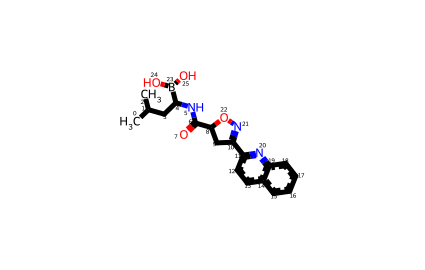 CC(C)CC(NC(=O)C1CC(c2ccc3ccccc3n2)=NO1)B(O)O